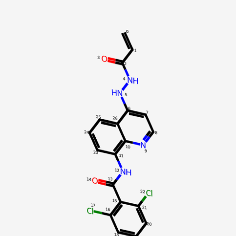 C=CC(=O)NNc1ccnc2c(NC(=O)c3c(Cl)cccc3Cl)cccc12